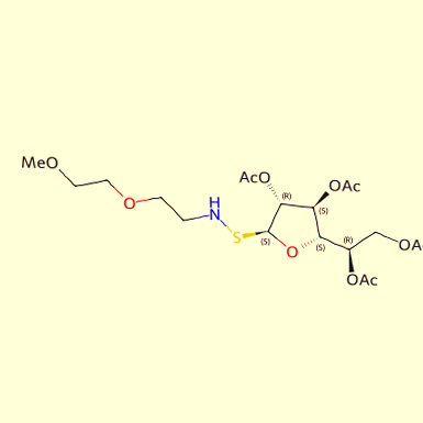 COCCOCCNS[C@@H]1O[C@@H]([C@@H](COC(C)=O)OC(C)=O)[C@H](OC(C)=O)[C@H]1OC(C)=O